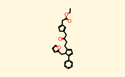 CCOC(=O)CC1=CCC(CC(=O)CCC2=CC=C(c3ccccc3)C2Cc2ccco2)=C1